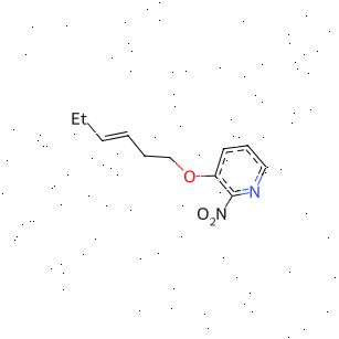 CCC=CCCOc1cccnc1[N+](=O)[O-]